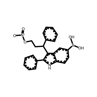 O=[N+]([O-])OCCC(c1ccccc1)c1c(-c2ccccc2)[nH]c2ccc(B(O)O)cc12